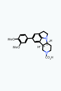 COc1ccc(-c2cc3c4c(c2)[C@@H]2CN(C(=O)O)CC[C@@H]2N4CC3)cc1OC